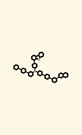 c1ccc(-c2ccc(-c3cccc(N(c4ccc(-c5ccc(-c6cccc(-c7ccc8ccccc8c7)c6)cc5)cc4)c4ccc(-c5cccc6c5oc5ccccc56)cc4)c3)cc2)cc1